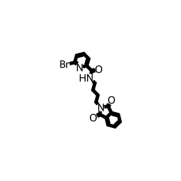 O=C(NCCCCN1C(=O)c2ccccc2C1=O)c1cccc(Br)n1